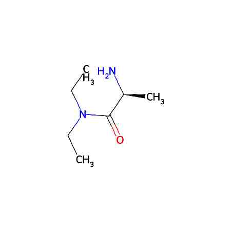 CCN(CC)C(=O)[C@H](C)N